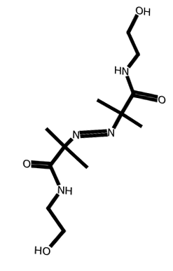 CC(C)(/N=N/C(C)(C)C(=O)NCCO)C(=O)NCCO